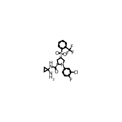 NC1(NC(=O)[C@H]2C[C@H](S(=O)(=O)c3ccccc3C(F)(F)F)CN2c2ccc(F)c(Cl)c2)CC1